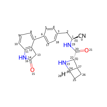 N#C[C@H](Cc1ccc(-c2cccc3c2CC(=O)N3)cc1)NC(=O)[C@H]1N[C@@H]2CCC12